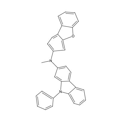 CN(c1ccc2c(c1)oc1ccccc12)c1ccc2c3ccccc3n(-c3ccccc3)c2c1